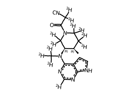 [2H]c1nc(N([C@@H]2[C@H](C)C([2H])([2H])C([2H])([2H])N(C(=O)C([2H])([2H])[N+]#[C-])C2([2H])[2H])C([2H])([2H])[2H])c2cc[nH]c2n1